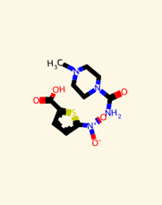 CN1CCN(C(N)=O)CC1.O=C(O)c1ccc([N+](=O)[O-])s1